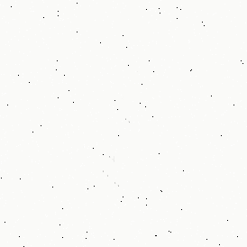 Cc1nnn2c1-c1ccccc1N(c1ccc(Cl)cc1)CC2C